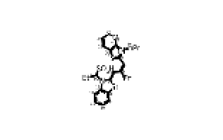 CCC[n+]1c(C=C(C=C2Sc3ccccc3N2C(CC)S(=O)(=O)O)CC)sc2c1OCC=C2